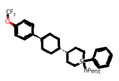 CCCCC[Si]1(c2ccccc2)CCC([C@H]2CC[C@H](c3ccc(OC(F)(F)F)cc3)CC2)CC1